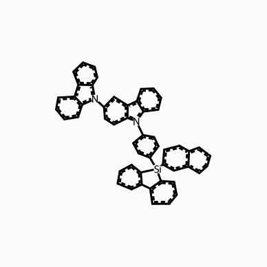 c1ccc2c(c1)-c1ccccc1[Si]2(c1ccc(-n2c3ccccc3c3cc(-n4c5ccccc5c5ccccc54)ccc32)cc1)c1ccc2ccccc2c1